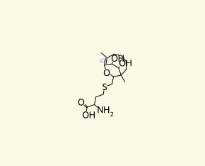 C/C1=C2/OC(CSCCC(N)C(=O)O)C(C)(CCCC1)C(O)C2O